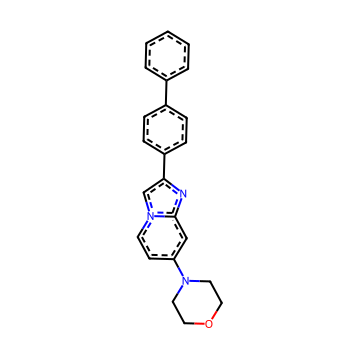 c1ccc(-c2ccc(-c3cn4ccc(N5CCOCC5)cc4n3)cc2)cc1